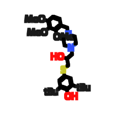 COc1ccc(CN2CCN(CC(O)CSc3cc(C(C)(C)C)c(O)c(C(C)(C)C)c3)CC2)c(OC)c1OC